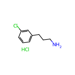 Cl.NCCCc1cccc(Cl)c1